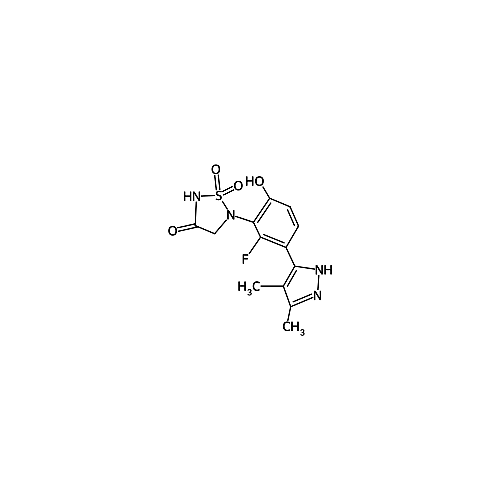 Cc1n[nH]c(-c2ccc(O)c(N3CC(=O)NS3(=O)=O)c2F)c1C